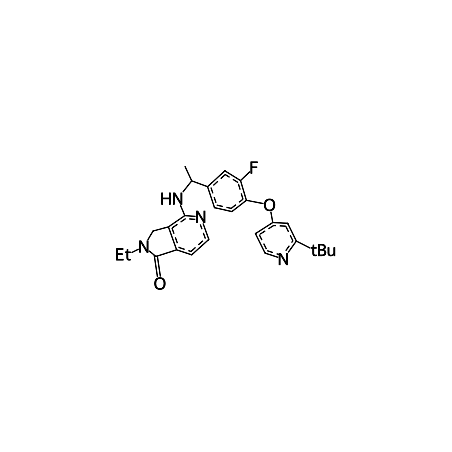 CCN1Cc2c(ccnc2NC(C)c2ccc(Oc3ccnc(C(C)(C)C)c3)c(F)c2)C1=O